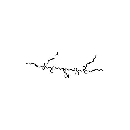 CCCCC#CCCOC(CCC(=O)OCCCCN(CCO)CCCCOC(=O)CCC(OCCC#CCCCC)OCCC#CCCCC)OCCC#CCCCC